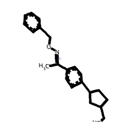 C/C(=N\OCc1ccccc1)c1ccc(C2CCC(CO)C2)cc1